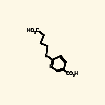 O=C(O)CCCSc1ccc(C(=O)O)cn1